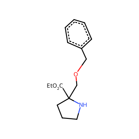 CCOC(=O)C1(COCc2ccccc2)CCCN1